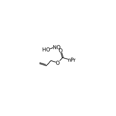 C=CCOC(=O)CCC.O=NO